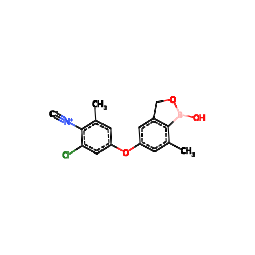 [C-]#[N+]c1c(C)cc(Oc2cc(C)c3c(c2)COB3O)cc1Cl